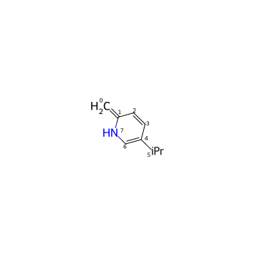 C=C1C=CC(C(C)C)=CN1